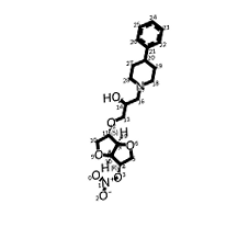 O=[N+]([O-])O[C@@H]1CO[C@H]2[C@@H]1OC[C@@H]2OCC(O)CN1CCC(c2ccccc2)CC1